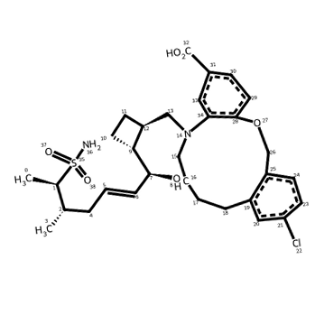 C[C@H]([C@@H](C)C/C=C/[C@H](O)[C@@H]1CC[C@H]1CN1CCCCc2cc(Cl)ccc2COc2ccc(C(=O)O)cc21)S(N)(=O)=O